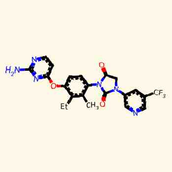 CCc1c(Oc2ccnc(N)n2)ccc(N2C(=O)CN(c3cncc(C(F)(F)F)c3)C2=O)c1C